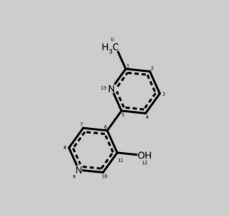 Cc1cccc(-c2ccncc2O)n1